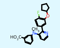 CN(c1cccc(C(=O)O)c1)c1cccnc1-c1ccc(F)c(OC2CCCC2)c1